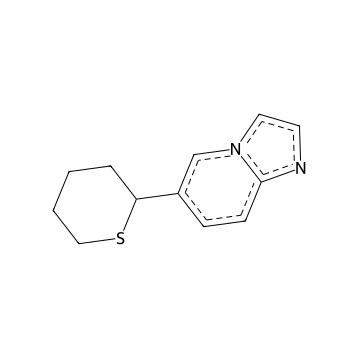 c1cn2cc(C3CCCCS3)ccc2n1